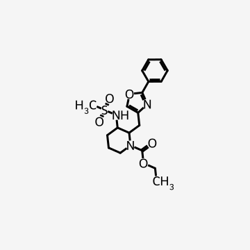 CCOC(=O)N1CCCC(NS(C)(=O)=O)C1Cc1coc(-c2ccccc2)n1